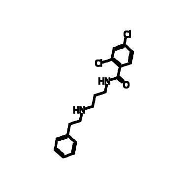 O=C(NCCCNCCc1ccccc1)c1ccc(Cl)cc1Cl